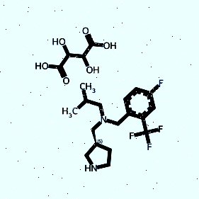 CC(C)CN(Cc1ccc(F)cc1C(F)(F)F)C[C@H]1CCNC1.O=C(O)C(O)C(O)C(=O)O